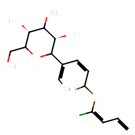 C=C/C=C(/Br)SC(Cl)/C=C\C(=C/CC)C1OC(CO)[C@@H](O)C(O)[C@H]1O